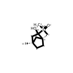 C[SH]1(=O)C[C@@]23CC[C@@H](CC21O)C3